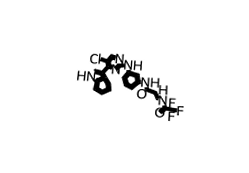 O=C(CCNC(=O)C(F)(F)F)Nc1cccc(Nc2ncc(Cl)c(-c3c[nH]c4ccccc34)n2)c1